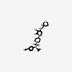 N#Cc1ccc(N(C2CC2)S(=O)(=O)N2CCC(n3ncc(NC[C@@]4(F)CCCOC4)c(Cl)c3=O)CC2)cc1